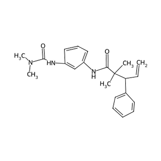 C=CC(c1ccccc1)C(C)(C)C(=O)Nc1cccc(NC(=O)N(C)C)c1